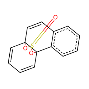 O=S1OC23C=CC=CC2(O1)c1ccccc1C=C3